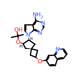 CC(C)(O)O[C@@H]1C[C@]2(C[C@H]1n1ccc3c(N)ncnc31)C[C@H](Oc1ccc3cccnc3c1)C2